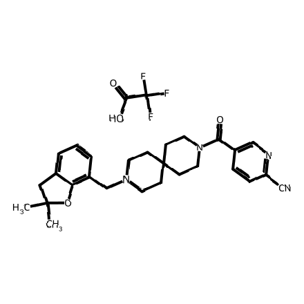 CC1(C)Cc2cccc(CN3CCC4(CC3)CCN(C(=O)c3ccc(C#N)nc3)CC4)c2O1.O=C(O)C(F)(F)F